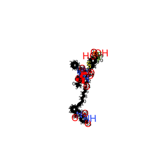 CC(C)(C)c1ccc(CC(NC(=O)c2cc3cc(C(F)(F)P(=O)(O)O)ccc3s2)C(=O)N2C[C@@H](OCCCCCCC#Cc3cccc4c3CN(C3CCC(=O)NC3=O)C4=O)C[C@H]2C(=O)N2CCO[C@H](c3ccccc3)C2)cc1